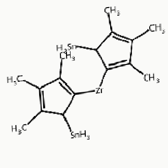 CC1=C(C)[CH]([SnH3])[C]([Zr][C]2=C(C)C(C)=C(C)[CH]2[SnH3])=C1C